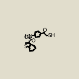 O=C(CS)c1ccc(NS(=O)(=O)c2csc3ccccc23)cc1